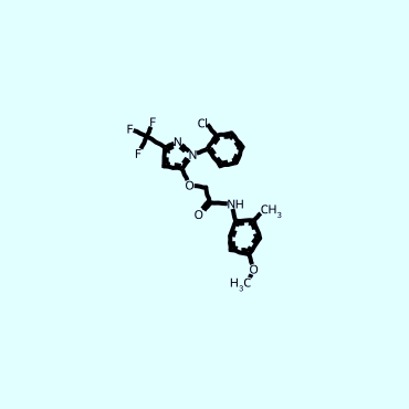 COc1ccc(NC(=O)COc2cc(C(F)(F)F)nn2-c2ccccc2Cl)c(C)c1